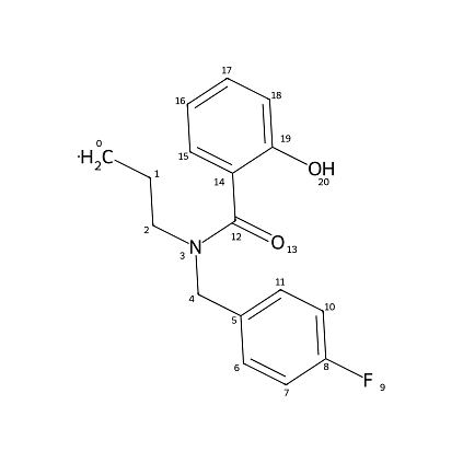 [CH2]CCN(Cc1ccc(F)cc1)C(=O)c1ccccc1O